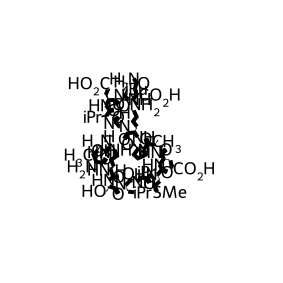 CC[C@H](C)[C@H](NC(=O)[C@H](CCC(=O)O)NC(=O)[C@@H](NC(=O)CNC(=O)[C@H](CCCCN)NC(=O)[C@@H]1CCCN1C(=O)[C@H](C)NC(=O)[C@H](CCC(=O)O)NC(=O)[C@H](CCSC)NC(=O)[C@@H](NC(=O)[C@H](CC(C)C)NC(=O)[C@H](CO)NC(=O)[C@H](CCCNC(=N)N)NC(=O)[C@@H](N)[C@@H](C)O)C(C)C)C(C)C)C(=O)N[C@@H](CC(N)=O)C(=O)O